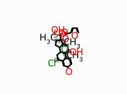 C[C@@H]1CC2C3C[C@H](Cl)C4=CC(=O)C=C[C@]4(C)[C@@]3(Cl)[C@@H](O)C[C@]2(C)[C@@]1(OC(=O)c1ccco1)C(=O)SO